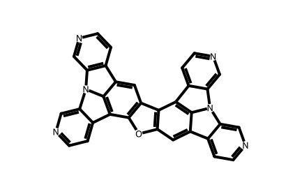 c1cc2c3cc4c(oc5cc6c7ccncc7n7c8cnccc8c(c54)c67)c4c5ccncc5n(c2cn1)c34